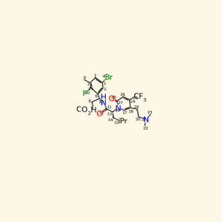 Cc1cc(Br)cc(C(CC(=O)O)NC(=O)[C@H](CC(C)C)n2cc(CCN(C)C)c(C(F)(F)F)cc2=O)c1F